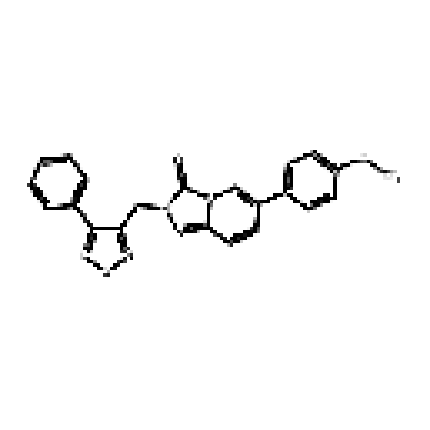 O=c1n(Cc2nonc2-c2ccccc2)nc2ccc(-c3ccc(OC(F)(F)F)cc3)cn12